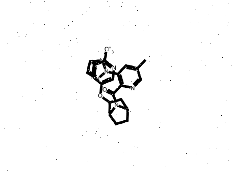 Cc1cnc(C(=O)N2C3CCC2C(Oc2cnc(C(F)(F)F)cn2)C3)c(-n2nccn2)c1